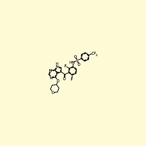 O=C(c1c(F)ccc(NS(=O)(=O)c2ccc(C(F)(F)F)cc2)c1F)c1c[nH]c2ncnc(OC3CCOCC3)c12